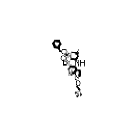 C[C@H]1C[C@@H](Nc2c(Br)cnc3c2ccn3COCC[Si](C)(C)C)CN(C(=O)OCc2ccccc2)C1